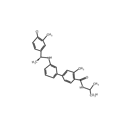 Cc1cc([C@H](C)Nc2cccc(-c3ccc(C(=O)NC(C)C(=O)O)c(C)c3)c2)ccc1Cl